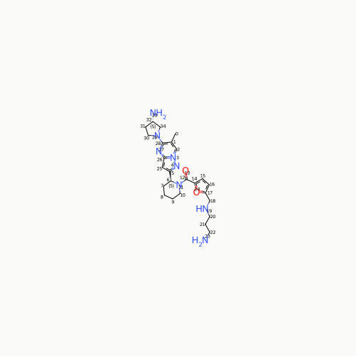 Cc1cn2nc([C@@H]3CCCCN3C(=O)c3ccc(CNCCCN)o3)cc2nc1N1CC[C@H](N)C1